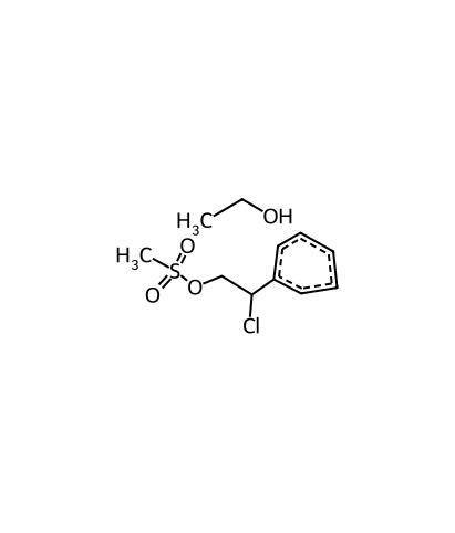 CCO.CS(=O)(=O)OCC(Cl)c1ccccc1